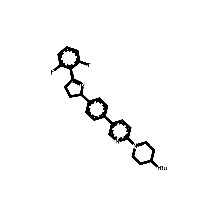 CC(C)(C)C1CCN(c2ccc(-c3ccc(C4CCC(c5c(F)cccc5F)=N4)cc3)cn2)CC1